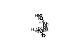 CS(=O)(=O)N1CC(Nc2ncc(Cl)n(CC(=O)NCc3cnc4[nH]ccc4c3)c2=O)C(c2ccccn2)C1